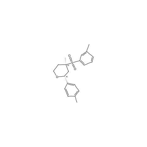 Cc1ccc([C@H]2C[C@](C)(S(=O)(=O)c3cccc(C)c3)CCO2)cc1